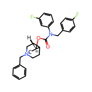 O=C(O[C@H]1C[N+]2(Cc3ccccc3)CCC1CC2)N(Cc1ccc(F)cc1)c1cccc(F)c1